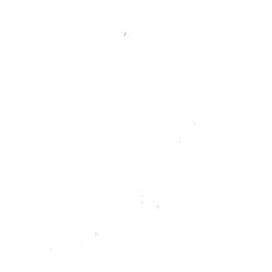 CC(C)(C)OC(=O)N1CCC(n2cc(-c3cc4nccc(Oc5ccc(N)cc5F)c4s3)cn2)CC1